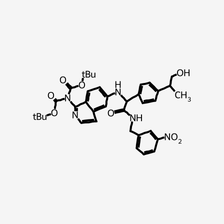 CC(CO)c1ccc(C(Nc2ccc3c(N(C(=O)OC(C)(C)C)C(=O)OC(C)(C)C)nccc3c2)C(=O)NCc2cccc([N+](=O)[O-])c2)cc1